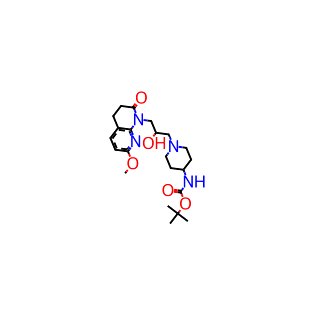 COc1ccc2c(n1)N(CC(O)CN1CCC(NC(=O)OC(C)(C)C)CC1)C(=O)CC2